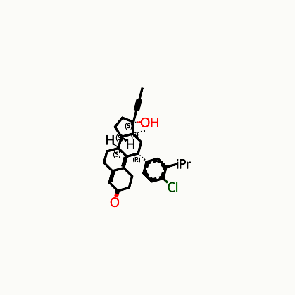 CC#C[C@]1(O)CC[C@H]2[C@@H]3CCC4=CC(=O)CCC4=C3[C@@H](c3ccc(Cl)c(C(C)C)c3)C[C@@]21C